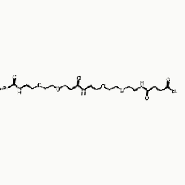 CCCC(=O)NCCOCCOCCC(=O)NCCOCCOCCNC(=O)CCC(=O)CC